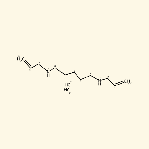 C=CCNCCCCCNCC=C.Cl.Cl